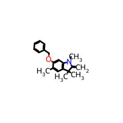 C=C1N(C)c2cc(OCc3ccccc3)c(C)cc2C1(C)C